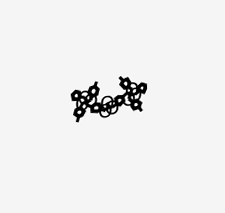 Cc1ccc(OC(Cc2ccc(OC(=O)Oc3ccc(CC(Oc4ccccc4)(Oc4ccc(C)cc4)Oc4ccc(C)cc4)cc3)cc2)(Oc2ccccc2)Oc2ccc(C)cc2)cc1